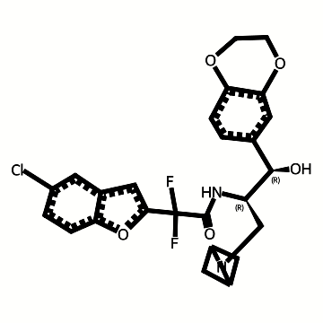 O=C(N[C@H](CN1CC2CC1C2)[C@H](O)c1ccc2c(c1)OCCO2)C(F)(F)c1cc2cc(Cl)ccc2o1